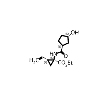 C=C[C@H]1C[C@@]1(NC(=O)[C@H]1CC[C@H](O)C1)C(=O)OCC